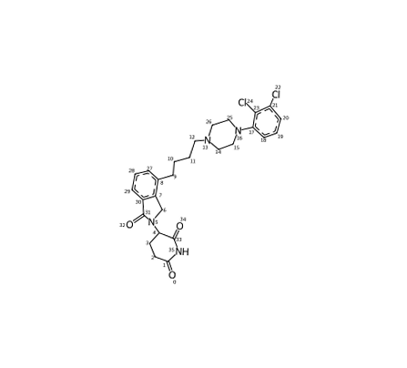 O=C1CCC(N2Cc3c(CCCCN4CCN(c5cccc(Cl)c5Cl)CC4)cccc3C2=O)C(=O)N1